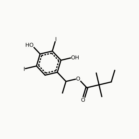 CCC(C)(C)C(=O)OC(C)c1cc(I)c(O)c(I)c1O